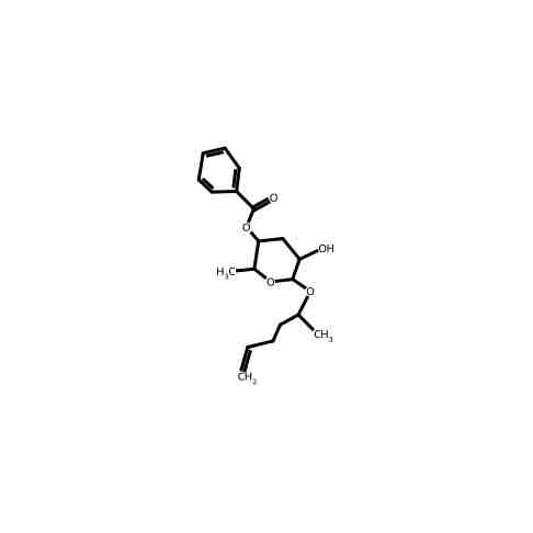 C=CCCC(C)OC1OC(C)C(OC(=O)c2ccccc2)CC1O